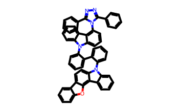 c1ccc(-c2nnc(-c3ccccc3)n2-c2cccc3c2c2ccccc2n3-c2ccccc2-c2ccccc2-n2c3ccccc3c3c4oc5ccccc5c4ccc32)cc1